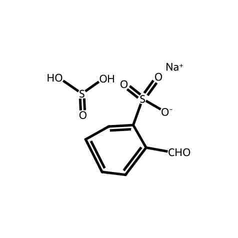 O=Cc1ccccc1S(=O)(=O)[O-].O=S(O)O.[Na+]